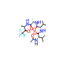 CC(=O)N[C@H](C(=O)N[C@H](C(=O)N[C@@H](C)C(=O)NC(C)C(=O)C(F)(F)F)C(C)C)C(C)C